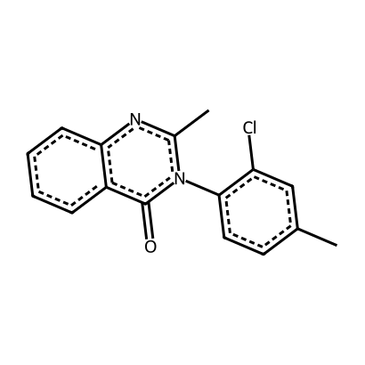 Cc1ccc(-n2c(C)nc3ccccc3c2=O)c(Cl)c1